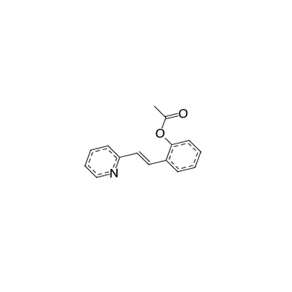 CC(=O)Oc1ccccc1C=Cc1ccccn1